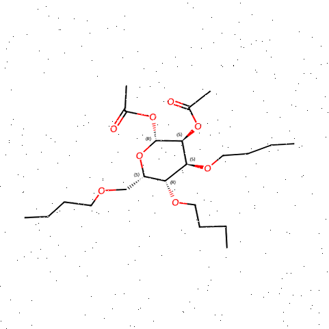 CCCCOC[C@@H]1O[C@H](OC(C)=O)[C@@H](OC(C)=O)[C@@H](OCCCC)[C@@H]1OCCCC